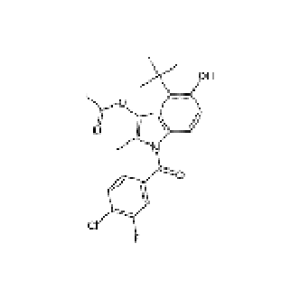 CC(=O)Oc1c(C)n(C(=O)c2ccc(Cl)c(F)c2)c2ccc(O)c(C(C)(C)C)c12